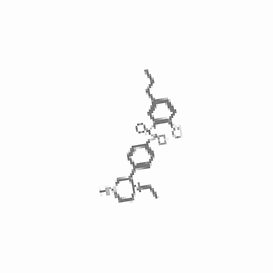 CCCc1ccc(Cl)c(S(=O)(=O)c2ccc(C3CNCCN3CC)cc2)c1